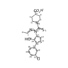 CC=NN(C(=S)N1CCC(C(=O)O)CC1)c1csc(-c2cccc(Cl)c2)c1O